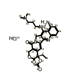 CC[C@@]1(OC(C)=O)C(=O)OCc2c1cc1n(c2=O)Cc2c-1nc1cccc(N)c1c2NCCCN(C)C.Cl